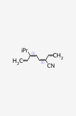 C=C/C(=C\C=C(\C#N)C=C)C(C)C